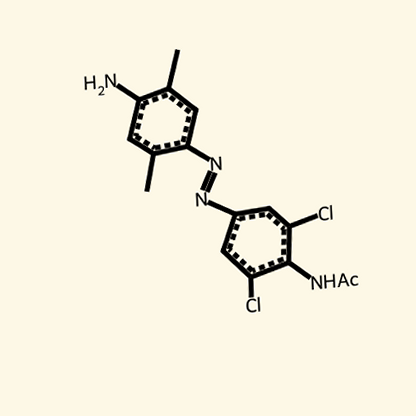 CC(=O)Nc1c(Cl)cc(N=Nc2cc(C)c(N)cc2C)cc1Cl